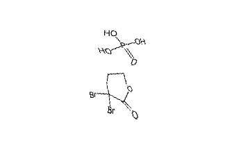 O=C1OCCC1(Br)Br.O=P(O)(O)O